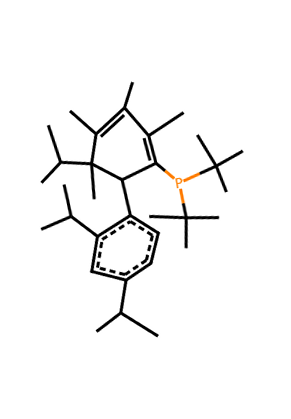 CC1=C(P(C(C)(C)C)C(C)(C)C)C(c2ccc(C(C)C)cc2C(C)C)C(C)(C(C)C)C(C)=C1C